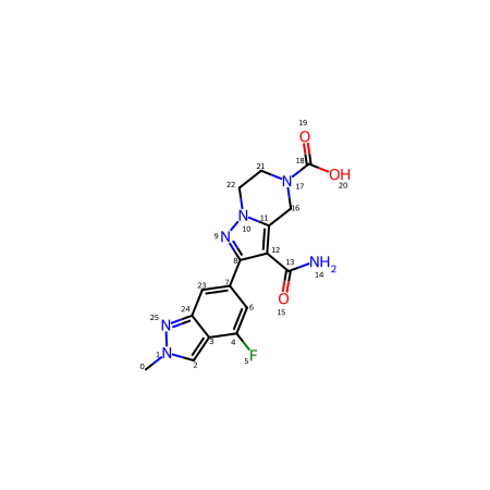 Cn1cc2c(F)cc(-c3nn4c(c3C(N)=O)CN(C(=O)O)CC4)cc2n1